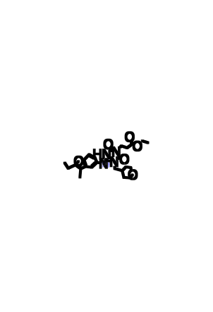 CCOC(=O)CCn1c(=O)[nH]/c(=N\c2ccc3oc(CC)c(C)c3c2)n(CC2CCOCC2)c1=O